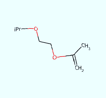 C=C(C)OCCOC(C)C